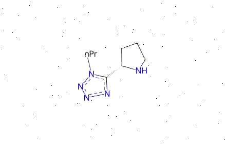 CCCn1nnnc1[C@@H]1CCCN1